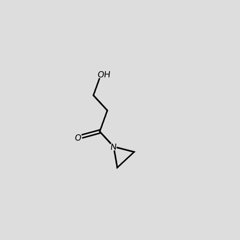 O=C(CCO)N1CC1